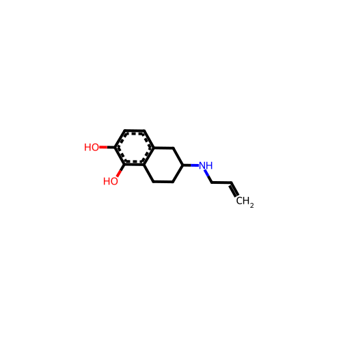 C=CCNC1CCc2c(ccc(O)c2O)C1